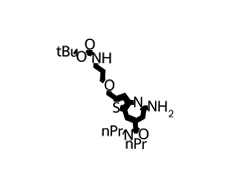 CCCN(CCC)C(=O)C1=Cc2sc(COCCCNC(=O)OC(C)(C)C)cc2N=C(N)C1